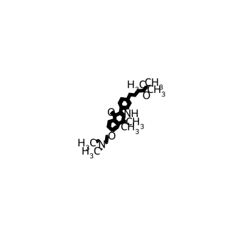 CCN(CC)CCOc1ccc2c(c1)C(C)(C)c1[nH]c3cc(CCCC(=O)C(C)(C)C)ccc3c1C2=O